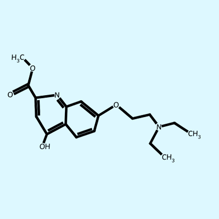 CCN(CC)CCOc1ccc2c(O)cc(C(=O)OC)nc2c1